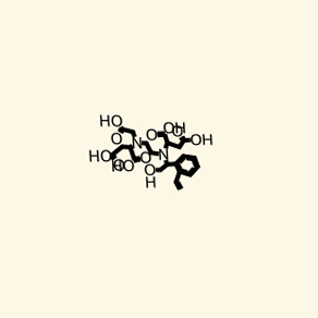 C=Cc1ccccc1C(CO)N(CCN(CC(=O)O)C(CC(=O)O)C(=O)O)C(CC(=O)O)C(=O)O